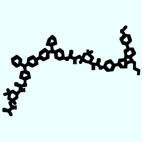 CCCCn1c2ccc(-c3ccc(OC)cc3)cc2c2cc(-c3ccc(OC(=O)NC4CC(C)(C)CC(C)(CNC(=O)Oc5ccc(N(c6ccccc6)c6ccc(-c7ccc(N(c8ccccc8)c8ccc(OC(=O)NC9CC(C)(C)CC(C)(CNC(C)=O)C9)cc8)cc7)cc6)cc5)C4)cc3)ccc21